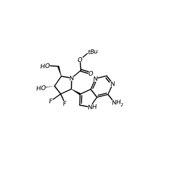 CC(C)(C)OC(=O)N1[C@H](CO)[C@@H](O)C(F)(F)[C@@H]1c1c[nH]c2c(N)ncnc12